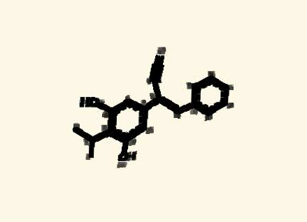 CC(C)c1c(O)cc(C(C#N)=Cc2ccccc2)cc1O